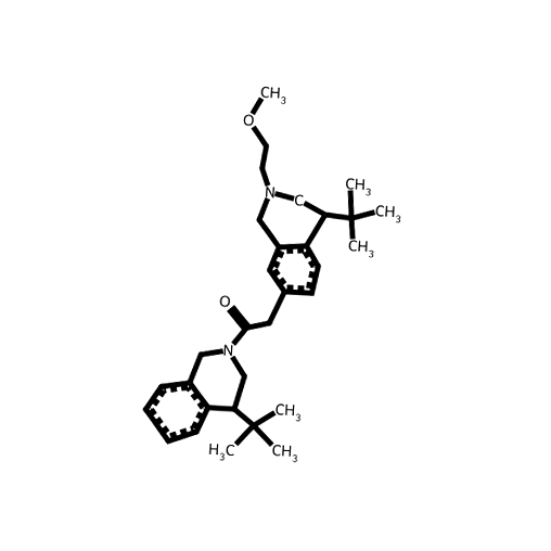 COCCN1Cc2cc(CC(=O)N3Cc4ccccc4C(C(C)(C)C)C3)ccc2C(C(C)(C)C)C1